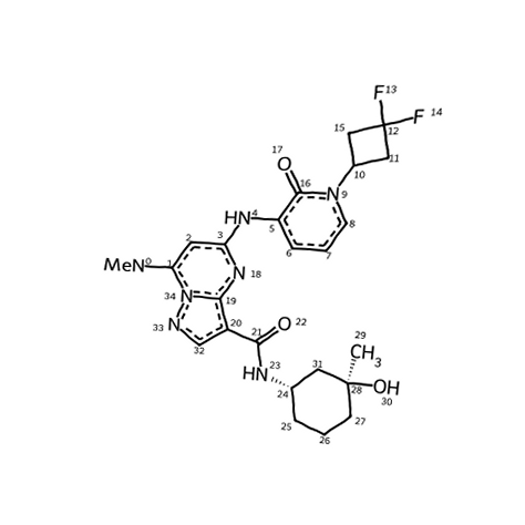 CNc1cc(Nc2cccn(C3CC(F)(F)C3)c2=O)nc2c(C(=O)N[C@H]3CCC[C@](C)(O)C3)cnn12